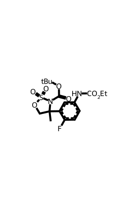 CCOC(=O)Nc1ccc(F)c(C2(C)COS(=O)(=O)N2C(=O)OC(C)(C)C)c1